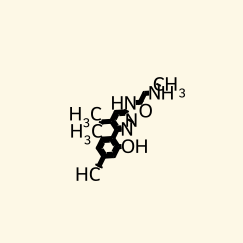 C#Cc1ccc(-c2nnc(NC(=O)CNC)cc2C(C)C)c(O)c1